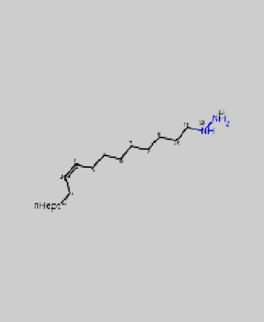 CCCCCCCC/C=C\CCCCCCCCNN